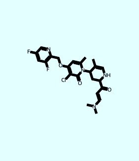 CC1=CNC(C(=O)/C=C/N(C)C)CC1n1c(C)cc(OCc2ncc(F)cc2F)c(Cl)c1=O